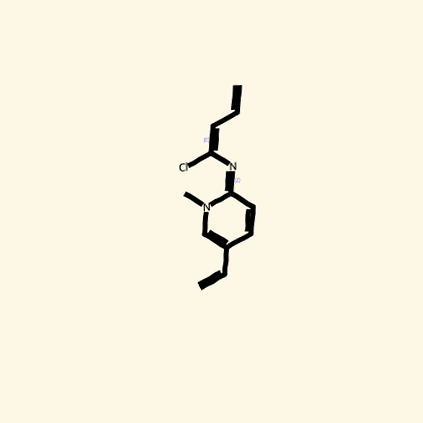 C=C/C=C(Cl)\N=c1\ccc(C=C)cn1C